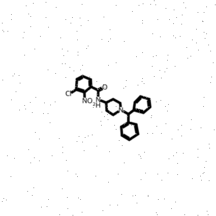 O=C(NC1CCN(C(c2ccccc2)c2ccccc2)CC1)c1cccc(Cl)c1[N+](=O)[O-]